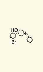 OC1(c2cccc(Br)c2)CCN(Cc2ccccc2)CC1